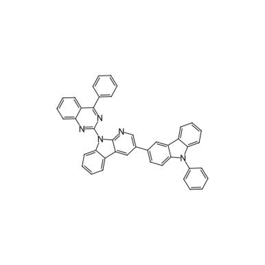 c1ccc(-c2nc(-n3c4ccccc4c4cc(-c5ccc6c(c5)c5ccccc5n6-c5ccccc5)cnc43)nc3ccccc23)cc1